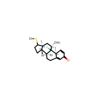 CCSC1CC[C@H]2[C@@H]3CCC4=CC(=O)C=C[C@]4(C)C3(F)[C@@H](OC(C)=O)C[C@]12C